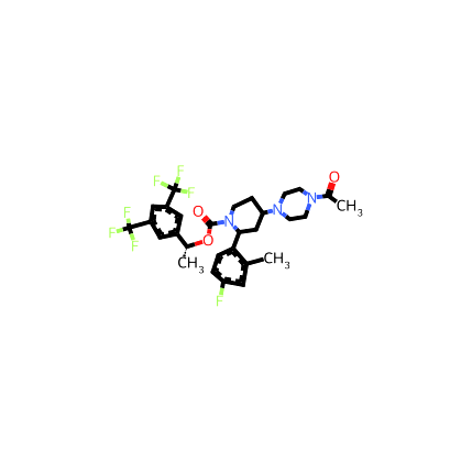 CC(=O)N1CCN(C2CCN(C(=O)O[C@H](C)c3cc(C(F)(F)F)cc(C(F)(F)F)c3)C(c3ccc(F)cc3C)C2)CC1